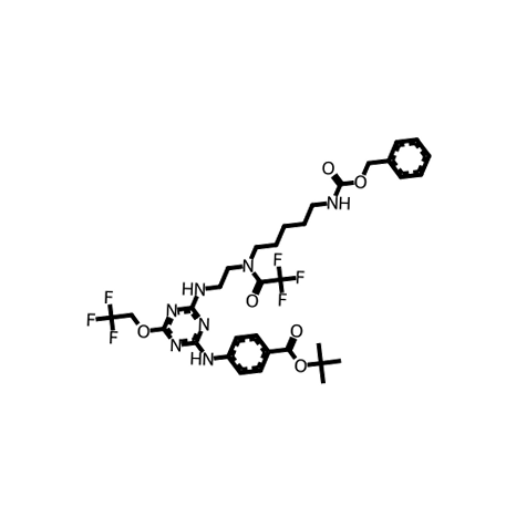 CC(C)(C)OC(=O)c1ccc(Nc2nc(NCCN(CCCCCNC(=O)OCc3ccccc3)C(=O)C(F)(F)F)nc(OCC(F)(F)F)n2)cc1